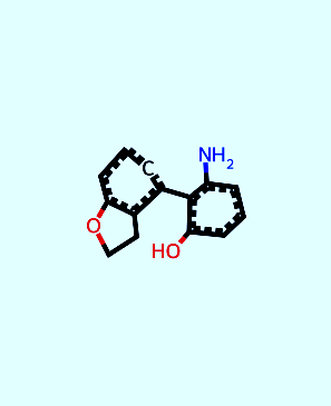 Nc1cccc(O)c1-c1cccc2c1CCO2